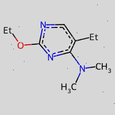 CCOc1ncc(CC)c(N(C)C)n1